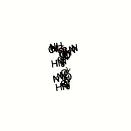 CCc1ccc(CC(CC(=O)N2CCC(N3Cc4ccccc4NC3=O)CC2)(C(=O)N2CCC(N3CCN(C)CC3)CC2)C(Cc2ccc(C)c(C)c2)C(=O)N2CCC(C3CCN(C(N)=O)CC3)CC2)cc1CC.CCc1ccc(CC(CC(=O)N2CCC(N3Cc4ccccc4NC3=O)CC2)C(=O)N2CCN(C3CCN(C)CC3)CC2)cc1CC